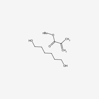 C=C(C)C(=O)OCCCC.OCCCCCCO